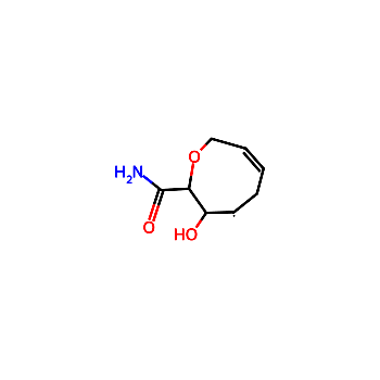 NC(=O)C1OCC=CC[CH]C1O